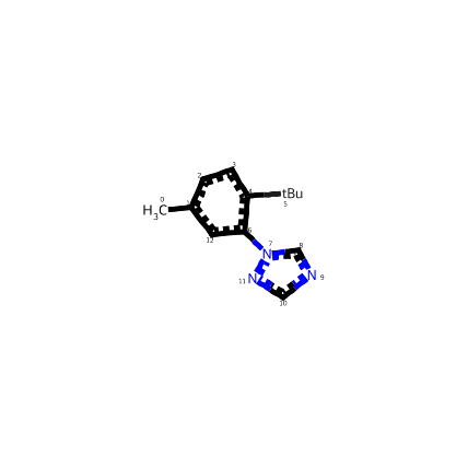 Cc1ccc(C(C)(C)C)c(-n2cncn2)c1